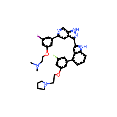 CN(C)CCOc1cc(I)cc(-c2cc3c(-c4cc5c(-c6cc(F)cc(OCCN7CCCC7)c6)cccc5[nH]4)n[nH]c3cn2)c1